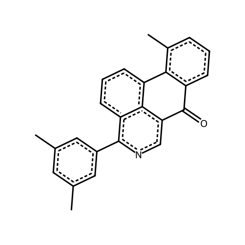 Cc1cc(C)cc(-c2ncc3c4c(cccc24)-c2c(C)cccc2C3=O)c1